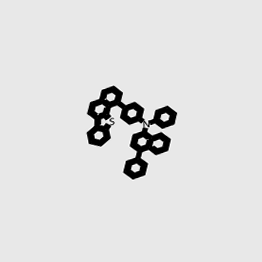 c1ccc(-c2ccc(N(c3ccccc3)c3ccc(-c4cccc5ccc6c7ccccc7sc6c45)cc3)c3ccccc23)cc1